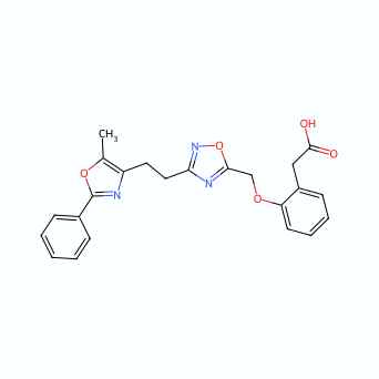 Cc1oc(-c2ccccc2)nc1CCc1noc(COc2ccccc2CC(=O)O)n1